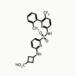 Cc1ccccc1-c1nc(NS(=O)(=O)c2cccc(NC3CC(C(=O)O)C3)n2)ccc1C(F)(F)F